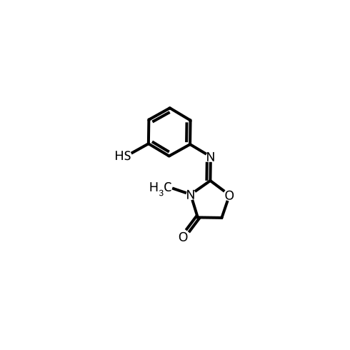 CN1C(=O)COC1=Nc1cccc(S)c1